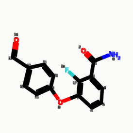 NC(=O)c1cccc(Oc2ccc(C=O)cc2)c1F